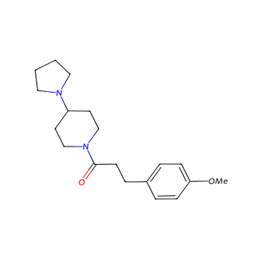 COc1ccc(CCC(=O)N2CCC(N3CCCC3)CC2)cc1